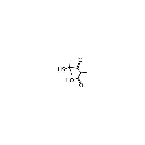 CC(C(=O)O)C(=O)C(C)(C)S